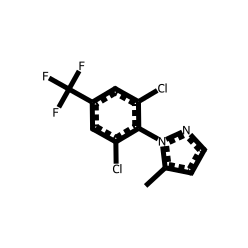 Cc1ccnn1-c1c(Cl)cc(C(F)(F)F)cc1Cl